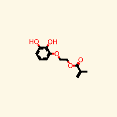 C=C(C)C(=O)OCCOc1cccc(O)c1O